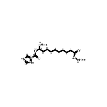 CCCCCCOC(=O)CCCCCCCCC(CCCCCC)OC(=O)n1cncn1